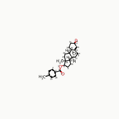 Cc1ccc(C(=O)OC2CC[C@H]3[C@@H]4CCC5=CC(=O)CC[C@]5(C)[C@@H]4CC[C@]23C)cc1